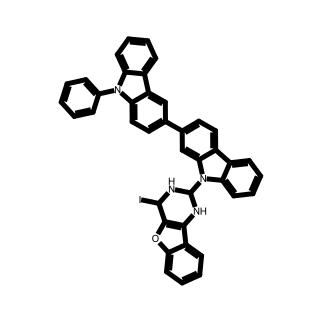 IC1NC(n2c3ccccc3c3ccc(-c4ccc5c(c4)c4ccccc4n5-c4ccccc4)cc32)Nc2c1oc1ccccc21